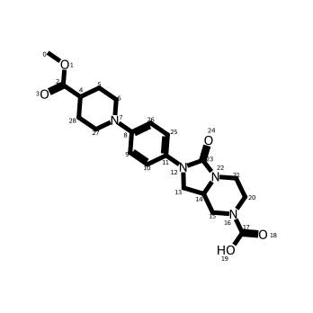 COC(=O)C1CCN(c2ccc(N3CC4CN(C(=O)O)CCN4C3=O)cc2)CC1